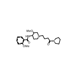 COc1ccccc1C(=O)NC1CCN(CCCC(=O)N2CCCCC2)CC1OC